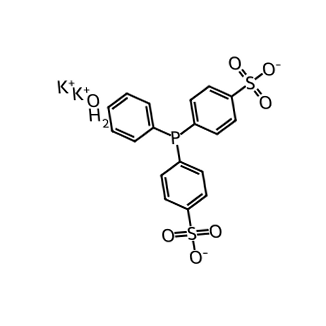 O.O=S(=O)([O-])c1ccc(P(c2ccccc2)c2ccc(S(=O)(=O)[O-])cc2)cc1.[K+].[K+]